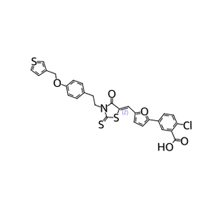 O=C(O)c1cc(-c2ccc(/C=C3\SC(=S)N(CCc4ccc(OCc5ccsc5)cc4)C3=O)o2)ccc1Cl